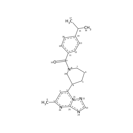 Cc1cc(C2CCCN(C(=O)c3ccc(C(C)C)cc3)C2)n2ncnc2n1